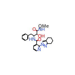 CONC(=O)C(O)C(Cc1ccccc1)NC(=O)c1cccnc1-n1cc2c(n1)CCCC2